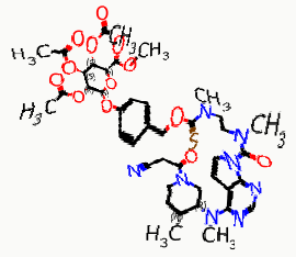 COC(=O)[C@H]1O[C@@H](Oc2ccc(COC(=S)N(C)CCN(C)C(=O)n3ccc4c(N(C)[C@H]5CN(C(=O)CC#N)CC[C@H]5C)ncnc43)cc2)[C@H](OC(C)=O)[C@@H](OC(C)=O)[C@@H]1OC(C)=O